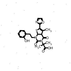 CC1=C(c2ncco2)SC2C1C(=O)N(C(C)(C)C(=O)O)C(=O)N2CCc1ccccc1O